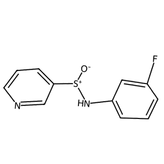 [O-][S+](Nc1cccc(F)c1)c1cccnc1